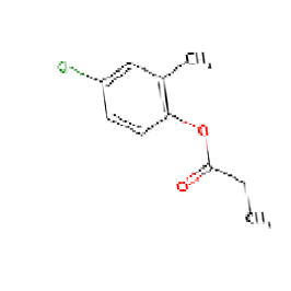 CCC(=O)Oc1ccc(Cl)cc1C